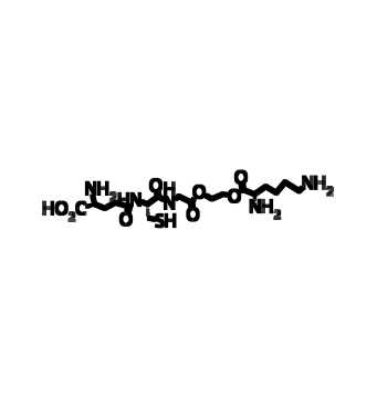 NCCCC[C@H](N)C(=O)OCCOC(=O)CNC(=O)[C@H](CS)NC(=O)CC[C@H](N)C(=O)O